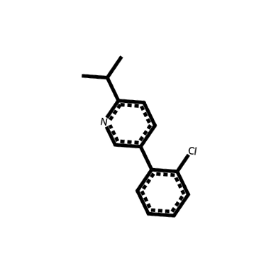 CC(C)c1ccc(-c2ccccc2Cl)cn1